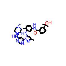 Cc1cc(Nc2cc(NC(=O)c3cccc(C(C)(C)O)c3)ccc2C)n(-c2cc(NN3CCN(C)CC3)ncn2)n1